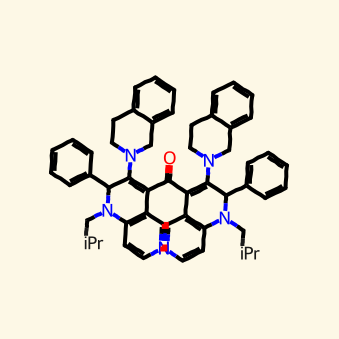 CC(C)CN1c2ccncc2C(C(=O)C2=C(N3CCc4ccccc4C3)C(c3ccccc3)N(CC(C)C)c3ccncc32)=C(N2CCc3ccccc3C2)C1c1ccccc1